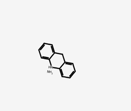 N.c1ccc2c(c1)Cc1ccccc1N2